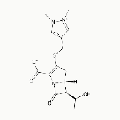 CC(O)[C@H]1C(=O)N2C(C(=O)[O-])=C(SCc3cn(C)[n+](C)c3)C[C@H]12